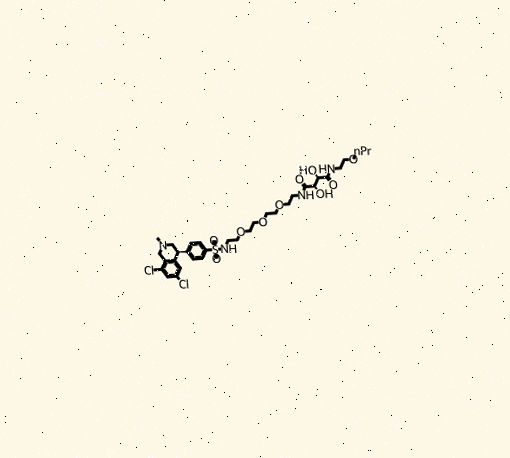 CCCOCCNC(=O)[C@H](O)[C@@H](O)C(=O)NCCOCCOCCOCCNS(=O)(=O)c1ccc([C@@H]2CN(C)Cc3c(Cl)cc(Cl)cc32)cc1